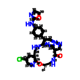 C[C@H]1CNC(=O)c2cnn3cc(-c4ccc(Nc5ncco5)cc4)c(nc23)NCc2cc(Cl)cnc2O1